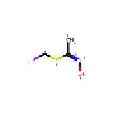 C/C(=N/O)SCI